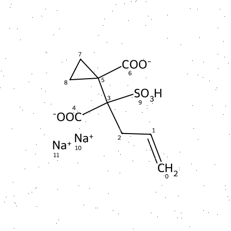 C=CCC(C(=O)[O-])(C1(C(=O)[O-])CC1)S(=O)(=O)O.[Na+].[Na+]